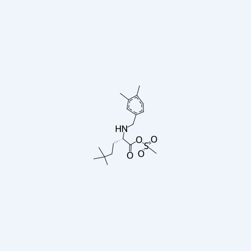 Cc1ccc(CN[C@@H](CCC(C)(C)C)C(=O)OS(C)(=O)=O)cc1C